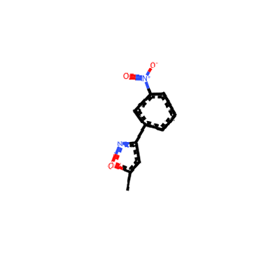 Cc1cc(-c2cccc([N+](=O)[O-])c2)no1